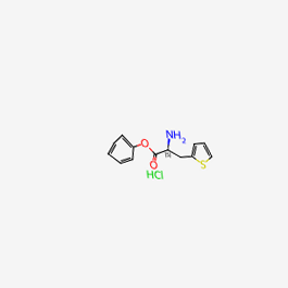 Cl.N[C@@H](Cc1cccs1)C(=O)Oc1ccccc1